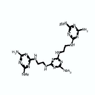 CNc1nc(N)nc(NCCNc2nc(N)nc(NCCNc3nc(N)nc(NC)n3)n2)n1